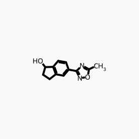 Cc1nc(-c2ccc3c(c2)CCC3O)no1